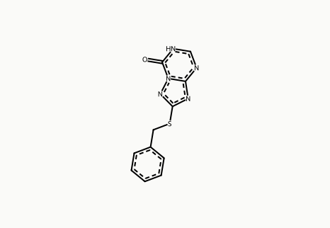 O=c1[nH]cnc2nc(SCc3ccccc3)nn12